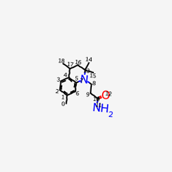 Cc1ccc2c(c1)N(CCC(N)=O)C(C)(C)CC2C